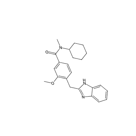 COc1cc(C(=O)N(C)C2CCCCC2)ccc1Cc1nc2ccccc2[nH]1